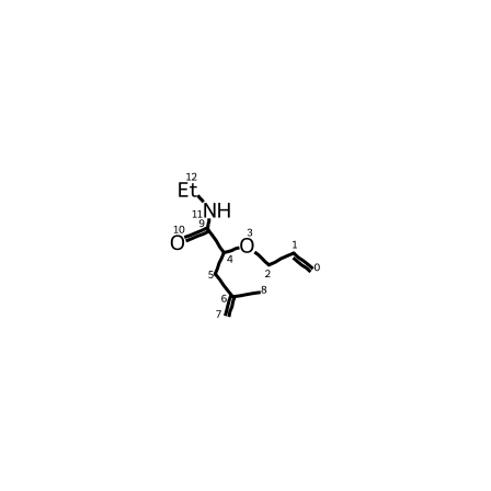 C=CCOC(CC(=C)C)C(=O)NCC